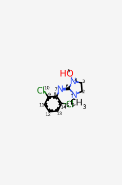 CN1CCN(O)/C1=N/c1c(Cl)cccc1Cl